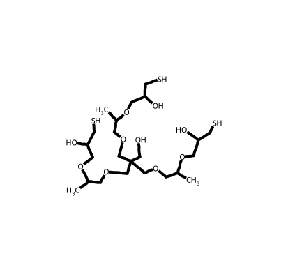 CC(COCC(CO)(COCC(C)OCC(O)CS)COCC(C)OCC(O)CS)OCC(O)CS